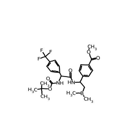 COC(=O)c1ccc(C(CB(C)C)NC(=O)C(NC(=O)OC(C)(C)C)c2ccc(C(F)(F)F)cc2)cc1